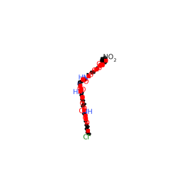 O=C(NCCOCCOCCOC(=O)NCCOCCOCCCCCCCl)OC/C=C\COC(=O)NCCOCCOCCOC(=O)Oc1ccc([N+](=O)[O-])cc1